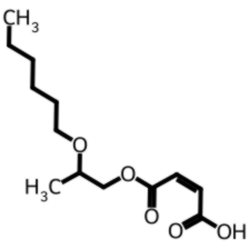 CCCCCCOC(C)COC(=O)/C=C\C(=O)O